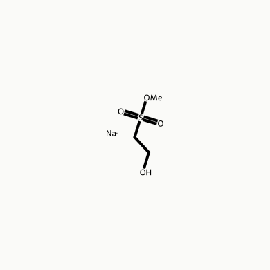 COS(=O)(=O)CCO.[Na]